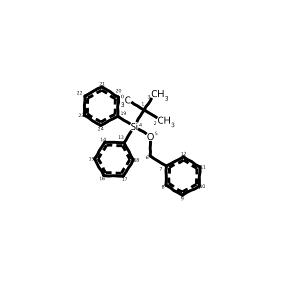 CC(C)(C)[Si](OCc1cc[c]cc1)(c1ccccc1)c1ccccc1